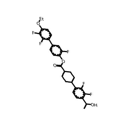 CCOc1ccc(-c2ccc(OC(=O)C3CCC(c4ccc(C(C)O)c(F)c4F)CC3)c(F)c2)c(F)c1F